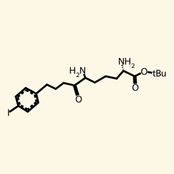 CC(C)(C)OC(=O)[C@@H](N)CCCC(N)C(=O)CCCc1ccc(I)cc1